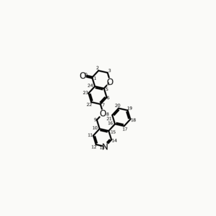 O=C1CCOc2cc(OCc3ccncc3-c3ccccc3)ccc21